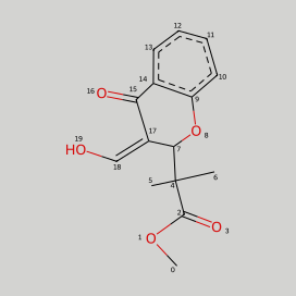 COC(=O)C(C)(C)C1Oc2ccccc2C(=O)C1=CO